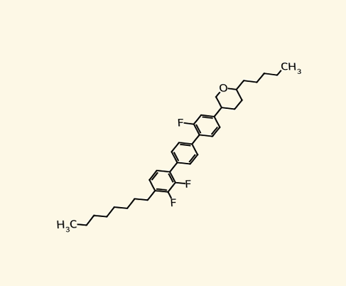 CCCCCCCCc1ccc(-c2ccc(-c3ccc(C4CCC(CCCCC)OC4)cc3F)cc2)c(F)c1F